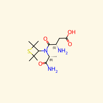 C[C@H](C(N)=O)N(C(=O)[C@@H](N)CC(=O)O)C1C(C)(C)SC1(C)C